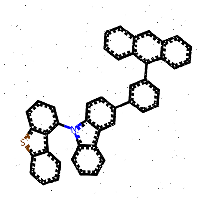 c1cc(-c2ccc3c(c2)c2ccccc2n3-c2cccc3sc4ccccc4c23)cc(-c2c3ccccc3cc3ccccc23)c1